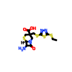 CCSc1nnc(SCC2(C(=O)O)CS[C@@H]3C(N)C(=O)N3C2)s1